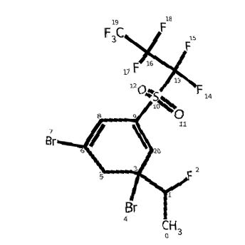 CC(F)C1(Br)[CH]C(Br)=CC(S(=O)(=O)C(F)(F)C(F)(F)C(F)(F)F)=C1